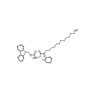 O=C(N[C@@H](Cc1ccccc1)C(=O)NCCCCCCCCCCCCO)OCC1c2ccccc2-c2ccccc21